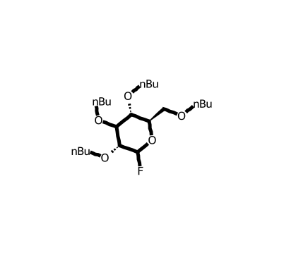 CCCCOC[C@H]1OC(F)[C@H](OCCCC)C(OCCCC)[C@@H]1OCCCC